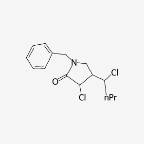 CCCC(Cl)C1CN(Cc2ccccc2)C(=O)C1Cl